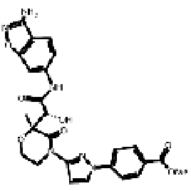 COC(=O)c1ccc(-n2ccc(N3CCO[C@](C)([C@@H](O)C(=O)Nc4ccc5c(N)noc5c4)C3=O)n2)cc1